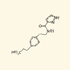 CCN(CCc1ccc(CCC(=O)O)cc1)C(=O)c1cc[nH]n1